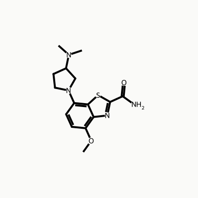 COc1ccc(N2CCC(N(C)C)C2)c2sc(C(N)=O)nc12